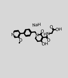 COc1cnccc1-c1ccc(CN2CCC(O)=C(C(=O)NCC(=O)O)C2=O)cc1.[NaH]